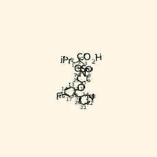 CC(C)C[C@@H](CS(=O)(=O)N1CCC(Oc2ccc(F)cc2-c2cccnc2)CC1)C(=O)O